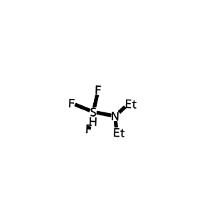 CCN(CC)[SH](F)(F)F